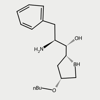 CCCCO[C@H]1CB[C@@H]([C@@H](O)[C@@H](N)Cc2ccccc2)C1